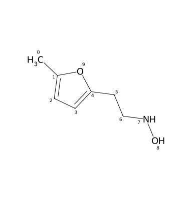 Cc1ccc(CCNO)o1